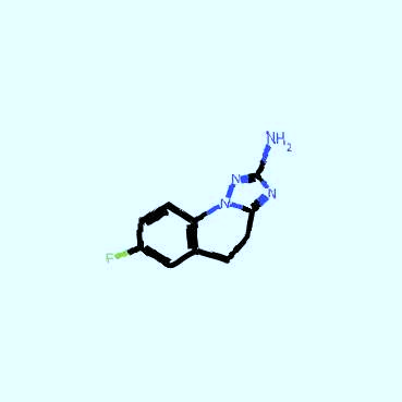 Nc1nc2n(n1)-c1ccc(F)cc1CC2